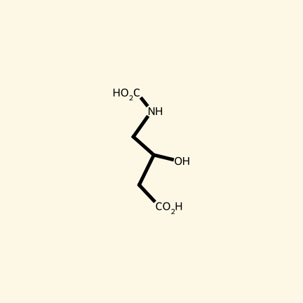 O=C(O)CC(O)CNC(=O)O